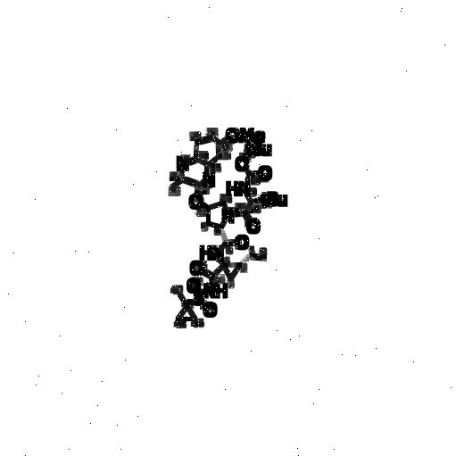 C=C[C@@H]1C[C@]1(NC(=O)[C@@H]1C[C@@H](Oc2nc3cc(OC)ccc3nc2C)CN1C(=O)[C@@H](NC(=O)OC(C)(C)C)C(C)(C)C)C(=O)NS(=O)(=O)C1(C)CC1